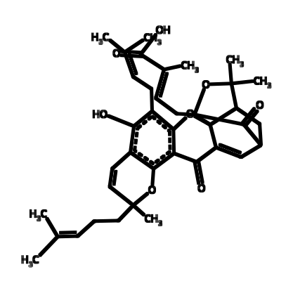 CC(C)=CCCC1(C)C=Cc2c(O)c(CC=C(C)C)c3c(c2O1)C(=O)C1=CC2CC4C(C)(C)OC(C/C=C(\C)C(=O)O)(C2=O)C14O3